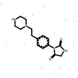 O=C1CNC(=O)N1c1ccc(CCN2CCNCC2)cc1